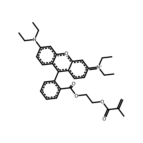 C=C(C)C(=O)OCCOC(=O)c1ccccc1-c1c2ccc(=[N+](CC)CC)cc-2oc2cc(N(CC)CC)ccc12